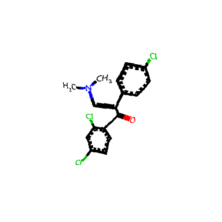 CN(C)/C=C(/C(=O)c1ccc(Cl)cc1Cl)c1ccc(Cl)cc1